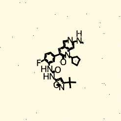 CNc1cc2c(cn1)cc(-c1ccc(F)c(NC(=O)Nc3cc(C(C)(C)C)no3)c1)c(=O)n2C1CCCC1